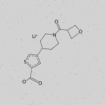 O=C([O-])c1cc(C2CCN(C(=O)C3COC3)CC2)cs1.[Li+]